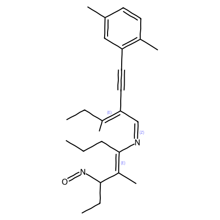 CCCC(/N=C\C(C#Cc1cc(C)ccc1C)=C(/C)CC)=C(/C)C(CC)N=O